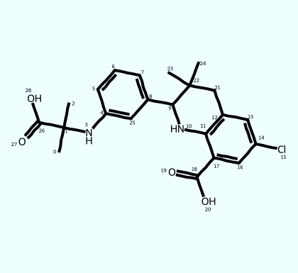 CC(C)(Nc1cccc(C2Nc3c(cc(Cl)cc3C(=O)O)CC2(C)C)c1)C(=O)O